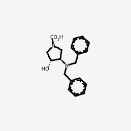 O=C(O)N1C[C@@H](O)[C@H](N(Cc2ccccc2)Cc2ccccc2)C1